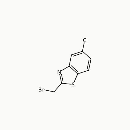 Clc1ccc2sc(CBr)nc2c1